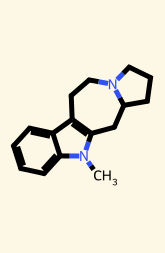 Cn1c2c(c3ccccc31)CCN1CCCC1C2